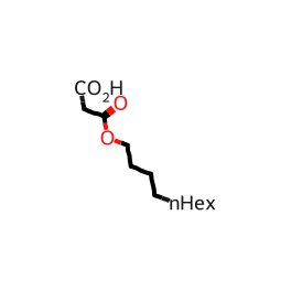 CCCCCCCCCCOC(=O)CC(=O)O